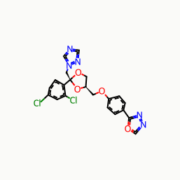 Clc1ccc([C@]2(Cn3cncn3)OC[C@@H](COc3ccc(-c4nnco4)cc3)O2)c(Cl)c1